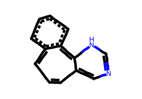 [C]1=C2C=CC=c3ccccc3=C2NC=N1